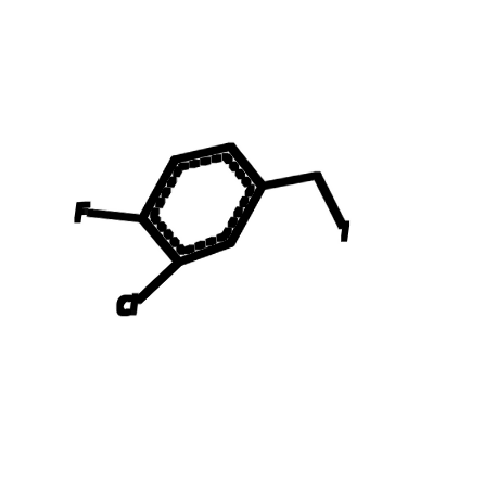 Fc1ccc(CI)cc1Cl